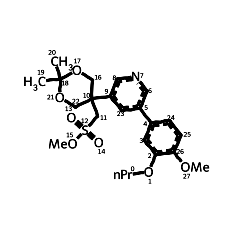 CCCOc1cc(-c2cncc(C3(CS(=O)(=O)OC)COC(C)(C)OC3)c2)ccc1OC